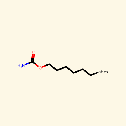 CCCCCCCCCCCCOC(N)=O